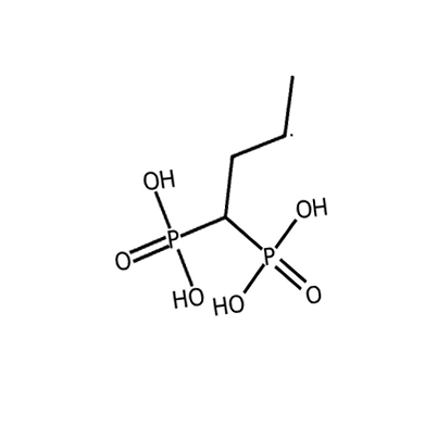 C[CH]CC(P(=O)(O)O)P(=O)(O)O